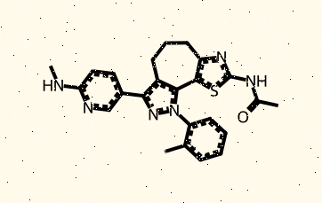 CNc1ccc(-c2nn(-c3ccccc3C)c3c2CCCc2nc(NC(C)=O)sc2-3)cn1